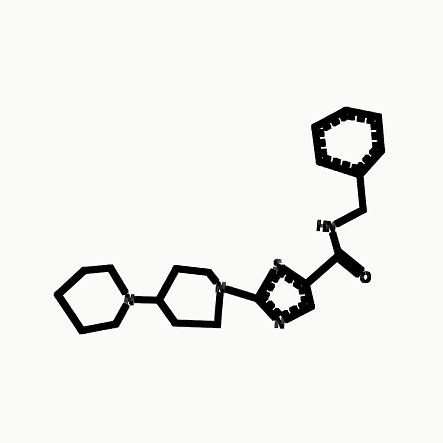 O=C(NCc1ccccc1)c1cnc(N2CCC(N3CCCCC3)CC2)s1